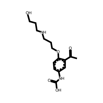 CC(=O)c1cc(NC(=O)O)ccc1OCCCNCCCO